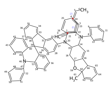 C#C/C(=C\C=C/C)N(c1ccccc1)C1C=C2C(CC1N(c1ccccc1)c1ccc3c(c1)-c1ccccc1C31c3ccccc3N(c3ccccc3)c3ccccc31)OC1(C)C=CC=CC21